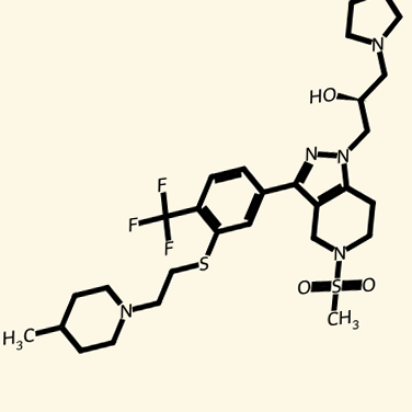 CC1CCN(CCSc2cc(-c3nn(C[C@@H](O)CN4CCCC4)c4c3CN(S(C)(=O)=O)CC4)ccc2C(F)(F)F)CC1